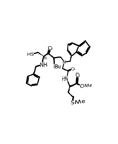 CCC(C)C(CN(CC(=O)NC(CCSC)C(=O)OC)Cc1cccc2ccccc12)C(=O)[C@H](CS)NCc1ccccc1